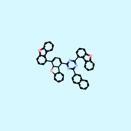 C1=C(c2cccc3oc4ccccc4c23)C2Oc3ccccc3C2C(c2nc(-c3ccc4ccccc4c3)nc(-c3cccc4oc5ccccc5c34)n2)=C1